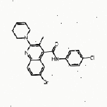 Cc1c(N2CC=CCC2)nc2ccc(Br)cc2c1C(=O)Nc1[c]cc(Cl)cc1